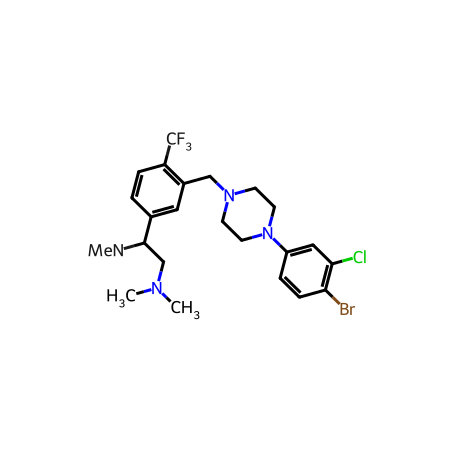 CNC(CN(C)C)c1ccc(C(F)(F)F)c(CN2CCN(c3ccc(Br)c(Cl)c3)CC2)c1